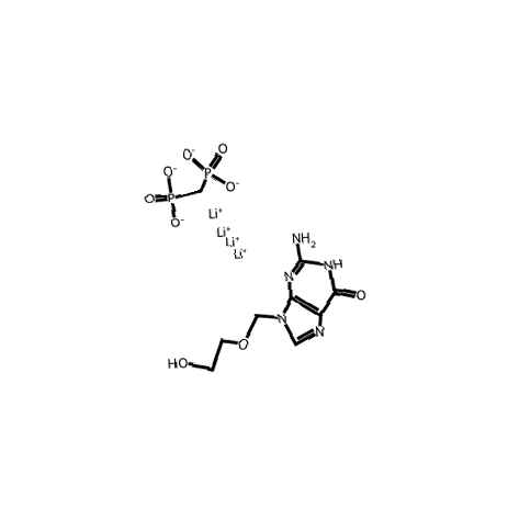 Nc1nc2c(ncn2COCCO)c(=O)[nH]1.O=P([O-])([O-])CP(=O)([O-])[O-].[Li+].[Li+].[Li+].[Li+]